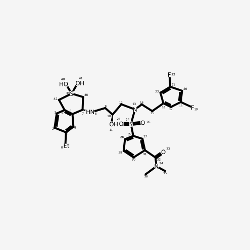 CCc1ccc2c(c1)[C@@H](NC[C@H](O)CN(CCc1cc(F)cc(F)c1)S(=O)(=O)c1cccc(C(=O)N(C)C)c1)CS(O)(O)C2